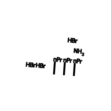 Br.Br.Br.CCCC.CCCC.CCCC.N